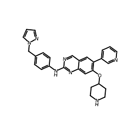 c1cncc(-c2cc3cnc(Nc4ccc(Cn5cccn5)cc4)nc3cc2OC2CCNCC2)c1